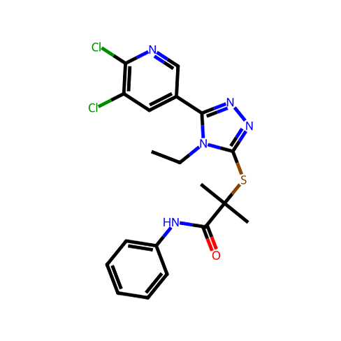 CCn1c(SC(C)(C)C(=O)Nc2ccccc2)nnc1-c1cnc(Cl)c(Cl)c1